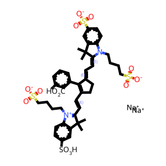 CC1(C)C(/C=C/C2=C(c3cccc(C(=O)O)c3)C(=C/C=C3/N(CCCCS(=O)(=O)[O-])c4ccc(S(=O)(=O)[O-])cc4C3(C)C)/CC2)=[N+](CCCCS(=O)(=O)[O-])c2ccc(S(=O)(=O)O)cc21.[Na+].[Na+]